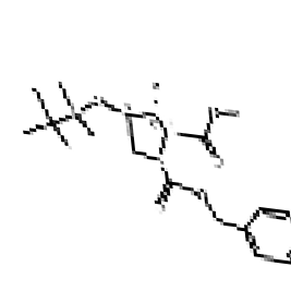 COC(=O)[C@@H]1[C@@H](C)[C@H](O[Si](C)(C)C(C)(C)C)CN1C(=O)OCc1ccccc1